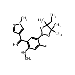 CCC1(C)OB(c2cc(C(=N)c3cnn(C)c3)c(NC)cc2F)OC1(C)C